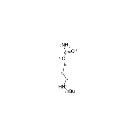 CCCCNCCCOC(N)=O